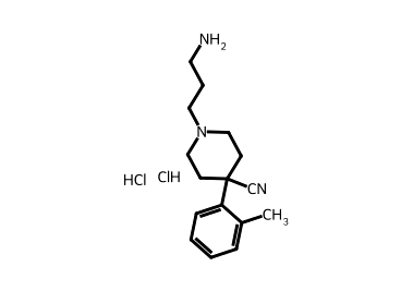 Cc1ccccc1C1(C#N)CCN(CCCN)CC1.Cl.Cl